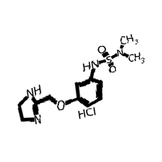 CN(C)S(=O)(=O)Nc1cccc(OCC2=NCCN2)c1.Cl